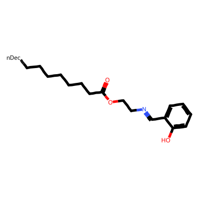 CCCCCCCCCCCCCCCCCC(=O)OCCN=Cc1ccccc1O